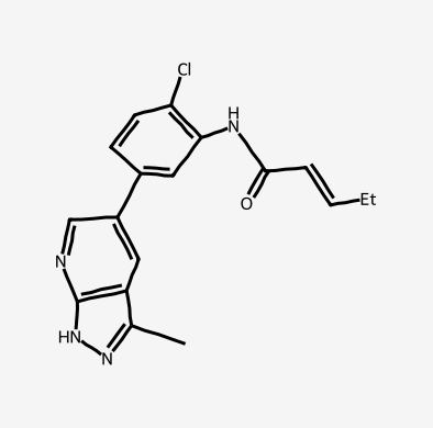 CC/C=C/C(=O)Nc1cc(-c2cnc3[nH]nc(C)c3c2)ccc1Cl